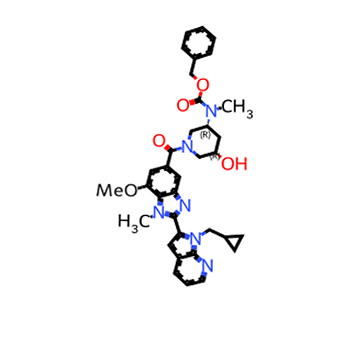 COc1cc(C(=O)N2C[C@H](O)C[C@@H](N(C)C(=O)OCc3ccccc3)C2)cc2nc(-c3cc4cccnc4n3CC3CC3)n(C)c12